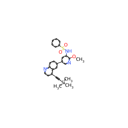 COc1ncc(-c2ccc3nccc(C#C[Si](C)(C)C)c3c2)cc1NS(=O)(=O)c1ccccc1